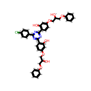 Oc1cc(OCC(O)COc2ccccc2)ccc1-c1nc(-c2ccc(Cl)cc2)nc(-c2ccc(OCC(O)COc3ccccc3)cc2O)n1